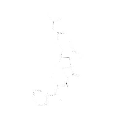 CC(=O)NC(=O)OC[C@]1(C)S[C@@H]2[C@H](NC(=O)[C@H](N)c3ccccc3)C(=O)N2[C@H]1C(=O)O